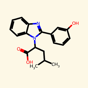 CC(C)CC(C(=O)O)n1c(-c2cccc(O)c2)nc2ccccc21